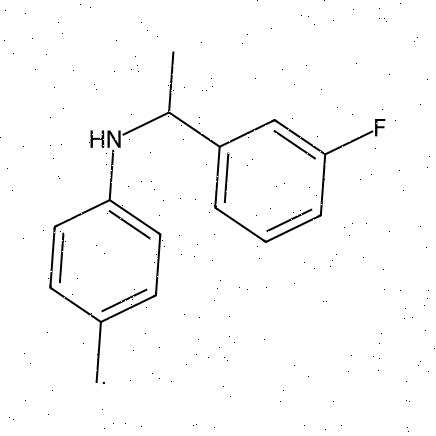 [CH2]c1ccc(NC(C)c2cccc(F)c2)cc1